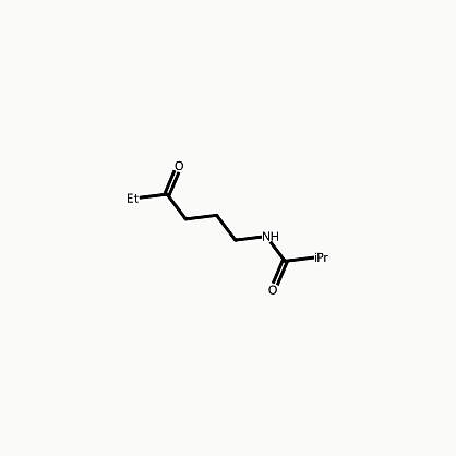 CCC(=O)CCCNC(=O)C(C)C